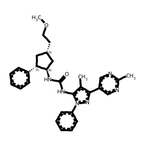 COCC[C@@H]1C[C@@H](NC(=O)Nc2c(C)c(-c3cnc(C)nc3)nn2-c2ccccc2)[C@H](c2ccccc2)C1